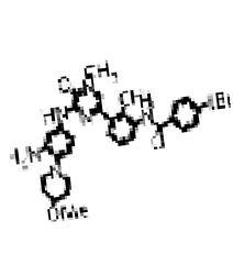 COC1CCN(c2ccc(Nc3nc(-c4cccc(NC(=O)c5ccc(C(C)(C)C)cc5)c4C)cn(C)c3=O)cc2N)CC1